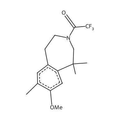 COc1cc2c(cc1C)CCN(C(=O)C(F)(F)F)CC2(C)C